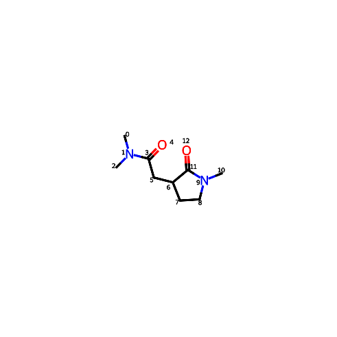 CN(C)C(=O)CC1CCN(C)C1=O